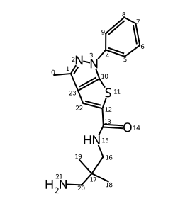 Cc1nn(-c2ccccc2)c2sc(C(=O)NCC(C)(C)CN)cc12